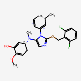 C/C=C\C(=C/CC)n1c(N(C)[C@H]2C=C(O)C(OC)=CC2)cnc1SCc1c(F)cccc1F